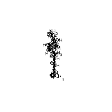 Cc1ccccc1C(=O)SCCNC(=O)CCNC(=O)[C@H](O)C(C)(C)COP(=O)(O)OP(=O)(O)OC[C@H]1O[C@@H](n2cnc3c(N)ncnc32)[C@H](O)[C@@H]1OP(=O)(O)O